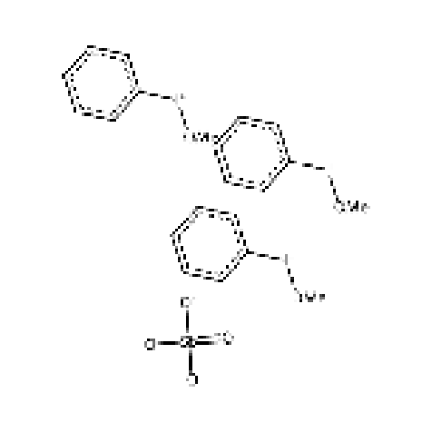 CO[I+]c1ccccc1.CO[I+]c1ccccc1.CO[I+]c1ccccc1.[O]=[Sb]([O-])([O-])[O-]